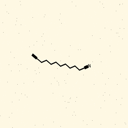 C#CCCCCCCCCCC#N